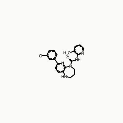 Cc1cccnc1NC(=O)N1CCCNc2ccc(-c3cccc(Cl)c3)nc21